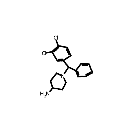 NC1CCN(C(c2ccccc2)c2ccc(Cl)c(Cl)c2)CC1